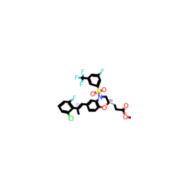 COC(=O)CC[C@H]1CN(S(=O)(=O)c2cc(F)cc(C(F)(F)F)c2)c2cc(/C=C(\C)c3c(F)cccc3Cl)ccc2O1